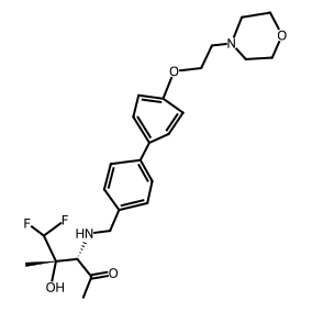 CC(=O)[C@@H](NCc1ccc(-c2ccc(OCCN3CCOCC3)cc2)cc1)[C@](C)(O)C(F)F